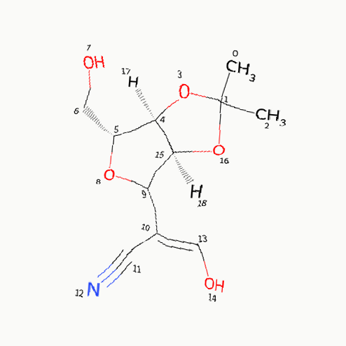 CC1(C)O[C@@H]2[C@@H](CO)OC(C(C#N)=CO)[C@@H]2O1